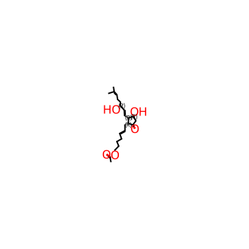 CC(=O)OCCCCC=CC[C@H]1C(=O)C[C@@H](O)[C@@H]1C=C[C@H](O)CCC=C(C)C